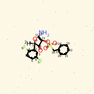 [2H][C@@]1(c2cc(F)ccc2F)OC(N)=C(OS(=O)(=O)Cc2ccccc2)C1=O